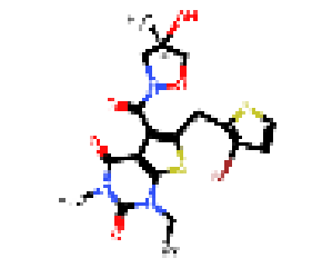 CC(C)Cn1c(=O)n(C)c(=O)c2c(C(=O)N3C[C@](C)(O)CO3)c(Cc3sccc3Br)sc21